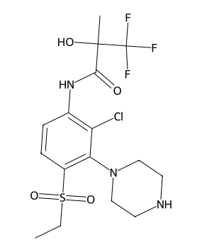 CCS(=O)(=O)c1ccc(NC(=O)C(C)(O)C(F)(F)F)c(Cl)c1N1CCNCC1